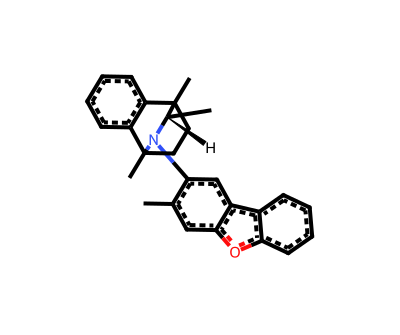 Cc1cc2oc3ccccc3c2cc1N1[C@@H](C)C2(C)CCC1(C)c1ccccc12